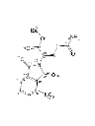 CC(C)(C)OC(=O)[C@@H](CCC(N)=O)N1C(=O)c2cccc([N+](=O)[O-])c2C1=O